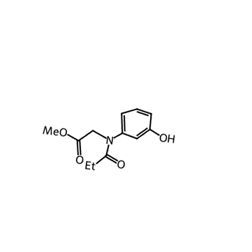 CCC(=O)N(CC(=O)OC)c1cccc(O)c1